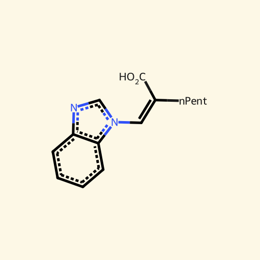 CCCCCC(=Cn1cnc2ccccc21)C(=O)O